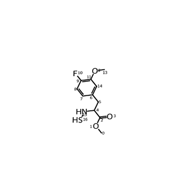 COC(=O)C(Cc1ccc(F)c(OC)c1)NS